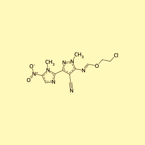 Cn1nc(-c2ncc([N+](=O)[O-])n2C)c(C#N)c1N=COCCCl